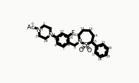 CC(=O)N1CCN(c2ccc(CN3CCCCC(c4ccccc4)S3(=O)=O)c(F)c2)CC1